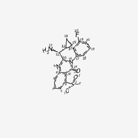 CS(=O)(=O)c1cccc2nc([C@@H](N)C3CC3)n(-c3cccc(F)c3)c(=O)c12